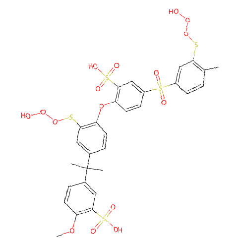 COc1ccc(C(C)(C)c2ccc(Oc3ccc(S(=O)(=O)c4ccc(C)c(SOOO)c4)cc3S(=O)(=O)O)c(SOOO)c2)cc1S(=O)(=O)O